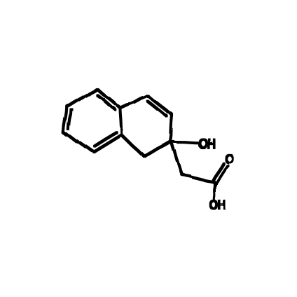 O=C(O)CC1(O)C=Cc2ccccc2C1